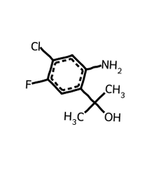 CC(C)(O)c1cc(F)c(Cl)cc1N